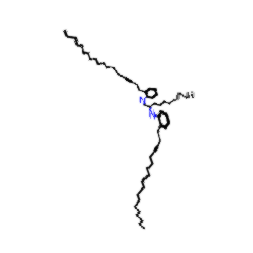 CCCCCCCCCCCCCCC#CCCc1ccccc1/N=C\C(CCCCC)=N\c1ccccc1CCC#CCCCCCCCCCCCCCC.[Ni]